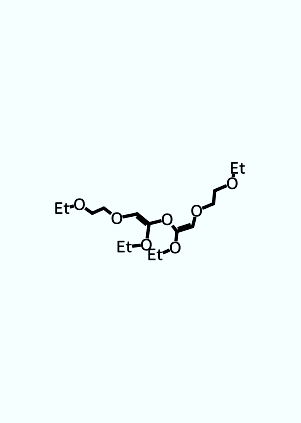 CCOCCOC=C(OCC)OC(=COCCOCC)OCC